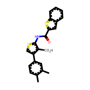 Cc1ccc(-c2csc(NC(=O)c3cc4ccccc4s3)c2C(=O)O)cc1C